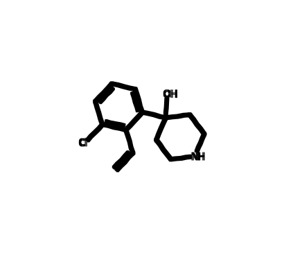 C=Cc1c(Cl)cccc1C1(O)CCNCC1